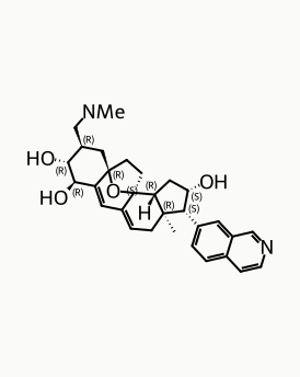 CNC[C@H]1C[C@@]23CC[C@@]4(O2)C(=CC[C@@]2(C)[C@H]4C[C@H](O)[C@@H]2c2ccc4ccncc4c2)C=C3[C@@H](O)[C@@H]1O